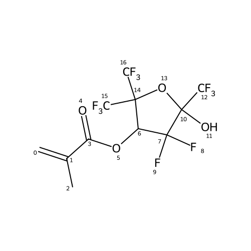 C=C(C)C(=O)OC1C(F)(F)C(O)(C(F)(F)F)OC1(C(F)(F)F)C(F)(F)F